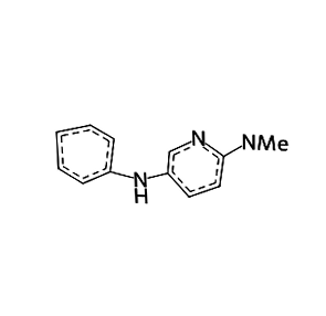 CNc1ccc(Nc2ccccc2)cn1